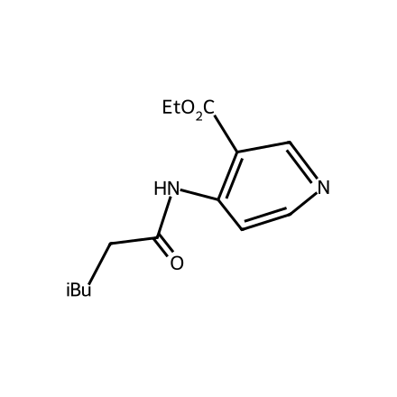 CCOC(=O)c1cnccc1NC(=O)CC(C)CC